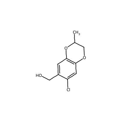 CC1COc2cc(Cl)c(CO)cc2O1